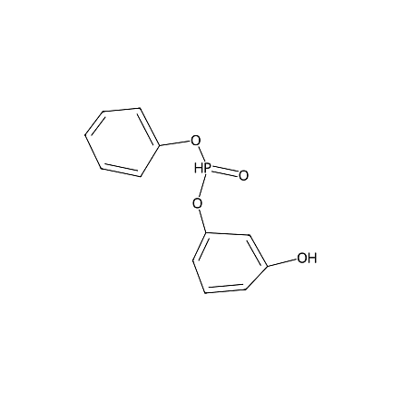 O=[PH](Oc1ccccc1)Oc1cccc(O)c1